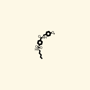 CCCCCNS(=O)(=O)c1ccc(C(=O)NCc2ccc(OC)cc2)cc1